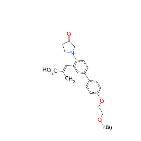 CCCCOCCOc1ccc(-c2ccc(N3CCC(=O)C3)c(/C=C(\C)C(=O)O)c2)cc1